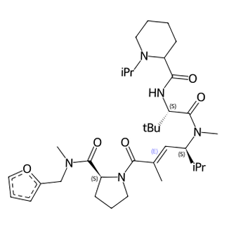 C/C(=C\[C@H](C(C)C)N(C)C(=O)[C@@H](NC(=O)C1CCCCN1C(C)C)C(C)(C)C)C(=O)N1CCC[C@H]1C(=O)N(C)Cc1ccco1